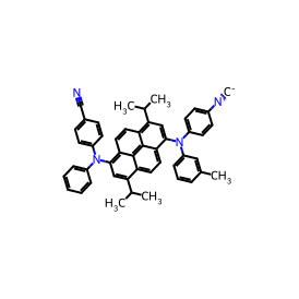 [C-]#[N+]c1ccc(N(c2cccc(C)c2)c2cc(C(C)C)c3ccc4c(N(c5ccccc5)c5ccc(C#N)cc5)cc(C(C)C)c5ccc2c3c54)cc1